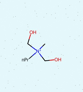 CCC[N+](C)(CO)CO